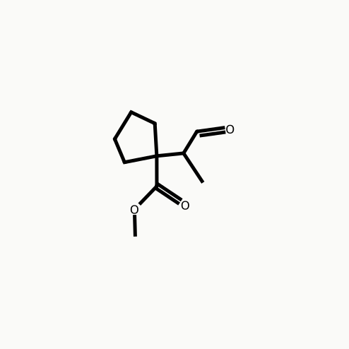 COC(=O)C1(C(C)C=O)CCCC1